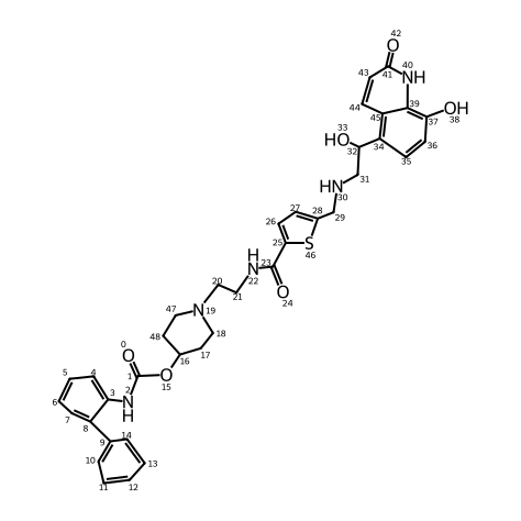 O=C(Nc1ccccc1-c1ccccc1)OC1CCN(CCNC(=O)c2ccc(CNCC(O)c3ccc(O)c4[nH]c(=O)ccc34)s2)CC1